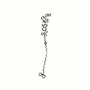 COC(=O)CCCCCCCCCCCCCCCSSCCCOC(=O)Oc1ccc2nc(C3=N[C@@H](C(=O)O)CS3)sc2c1